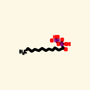 CCCCCCCCCCCC(=O)P(=O)(O)O[PH](=O)O